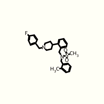 Cc1ccccc1CN(Cc1ccccc1C1CCN(Cc2ccc(F)cc2)CC1)S(C)(=O)=O